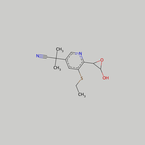 CCSc1cc(C(C)(C)C#N)cnc1C1OC1O